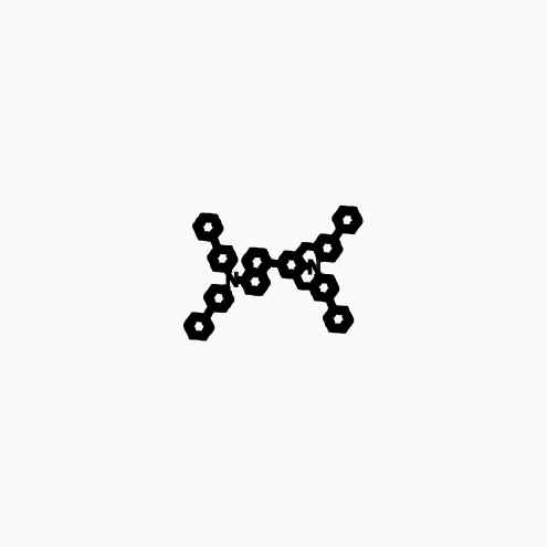 c1ccc(-c2ccc(N(c3ccc(-c4ccccc4)cc3)c3cccc4c(-c5cc6c7c(c5)Cc5cc(-c8ccccc8)ccc5N7c5ccc(-c7ccccc7)cc5C6)cccc34)cc2)cc1